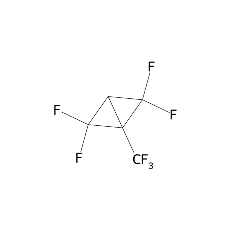 FC(F)(F)C12C(C1(F)F)C2(F)F